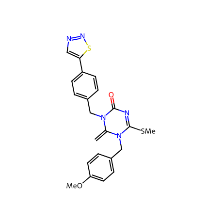 C=C1N(Cc2ccc(-c3cnns3)cc2)C(=O)N=C(SC)N1Cc1ccc(OC)cc1